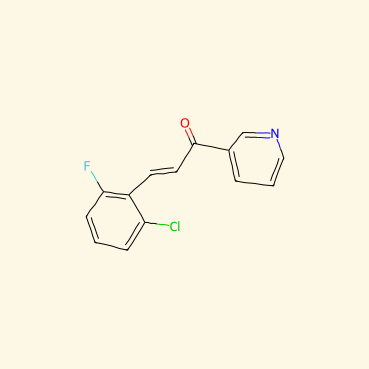 O=C(C=Cc1c(F)cccc1Cl)c1cccnc1